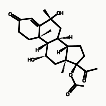 CC(=O)O[C@]1(C(C)=O)CC[C@H]2[C@@H]3C[C@@](C)(O)C4=CC(=O)CC[C@]4(C)[C@H]3[C@@H](O)C[C@@]21C